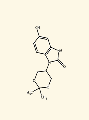 CC1(C)OCC(n2c(=O)[nH]c3cc(C#N)ccc32)CO1